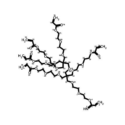 C=CC(=N)OCCOCCOCC(COCCOCCOC(=O)C=C)(COCCOCCOC(=O)C=C)COCC(CNCCOCCOC(=O)C=C)(COCCOCCOC(=O)C=C)COCCOCCOC(=O)C=C